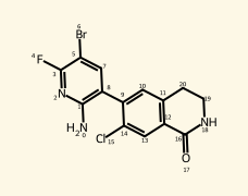 Nc1nc(F)c(Br)cc1-c1cc2c(cc1Cl)C(=O)NCC2